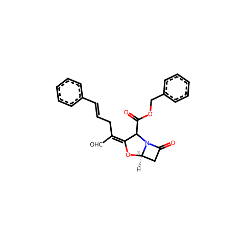 O=CC(CC=Cc1ccccc1)=C1O[C@@H]2CC(=O)N2C1C(=O)OCc1ccccc1